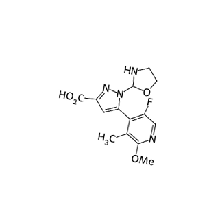 COc1ncc(F)c(-c2cc(C(=O)O)nn2C2NCCO2)c1C